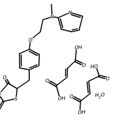 CN(CCOc1ccc(CC2SC(=O)NC2=O)cc1)c1ccccn1.O.O=C(O)C=CC(=O)O.O=C(O)C=CC(=O)O